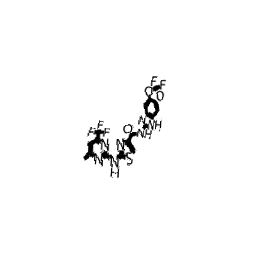 Cc1cc(C(F)(F)F)nc(Nc2nc(C(=O)Nc3nc4cc5c(cc4[nH]3)OC(F)(F)O5)cs2)n1